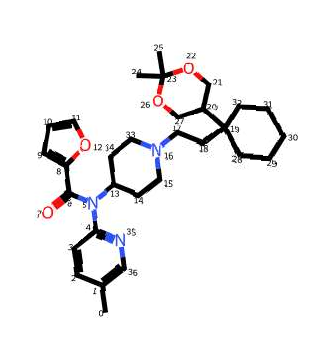 Cc1ccc(N(C(=O)c2ccco2)C2CCN(CCC3(C4COC(C)(C)OC4)CCCCC3)CC2)nc1